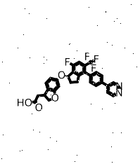 O=C(O)CC1COc2cc(O[C@@H]3CCc4c(-c5ccc(-c6ccnnc6)cc5)c(C(F)(F)F)cc(F)c43)ccc21